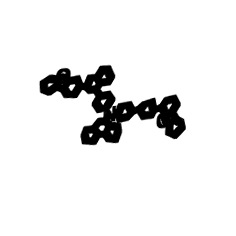 c1ccc2c(-c3ccc(N(c4ccc(-c5ccc(-c6cccc7c6oc6ccccc67)cc5)cc4)c4cc5ccccc5c5ccccc45)cc3)cc(-c3ccc4c(c3)oc3ccccc34)cc2c1